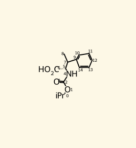 CC(C)OC(=O)N[C@H](C(=O)O)C(C)c1ccccc1